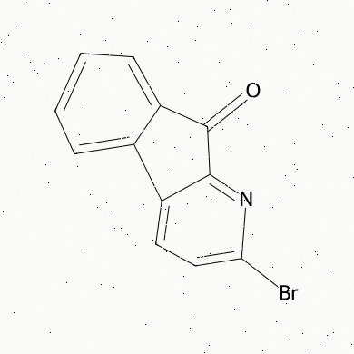 O=C1c2ccccc2-c2ccc(Br)nc21